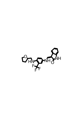 O=C1Nc2ccccc2C1=CNc1ccc(NCC2CCCO2)c(C(F)(F)F)c1